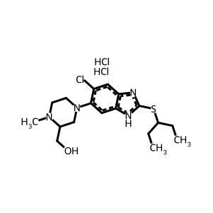 CCC(CC)Sc1nc2cc(Cl)c(N3CCN(C)C(CO)C3)cc2[nH]1.Cl.Cl